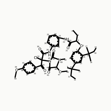 CCC(Oc1ccc(C(C)(C)CC)cc1C(C)(C)CC)C(=O)Nc1cccc(NC(=O)C(Cl)(C(=O)c2ccc(OC)cc2)N2C(=O)C(OC)N(C)C2=O)c1